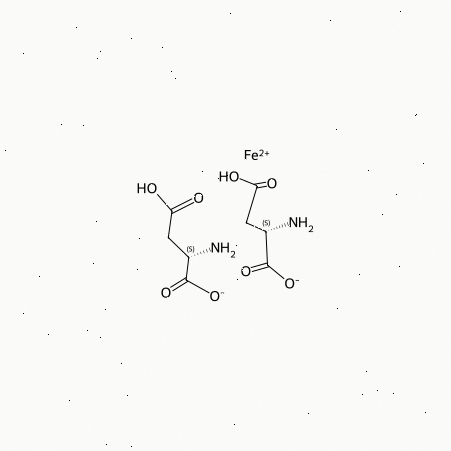 N[C@@H](CC(=O)O)C(=O)[O-].N[C@@H](CC(=O)O)C(=O)[O-].[Fe+2]